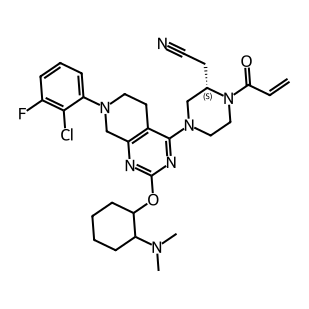 C=CC(=O)N1CCN(c2nc(OC3CCCCC3N(C)C)nc3c2CCN(c2cccc(F)c2Cl)C3)C[C@@H]1CC#N